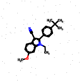 CCn1c(-c2ccc(C(C)(C)C)cc2)c(C#N)c2ccc(OC)cc21